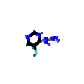 Fc1cncnc1.N.N